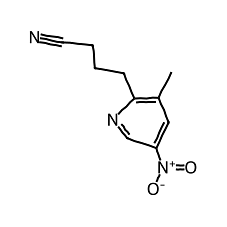 Cc1cc([N+](=O)[O-])cnc1CCCC#N